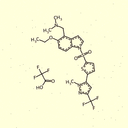 CCOc1ccc2c(ccn2S(=O)(=O)c2ccc(-c3cc(C(F)(F)F)nn3C)s2)c1CN(C)C.O=C(O)C(F)(F)F